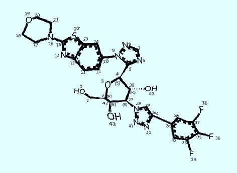 OC[C@H]1O[C@@H](c2ncnn2-c2ccc3nc(N4CCOCC4)sc3c2)[C@H](O)[C@@H](n2cc(-c3cc(F)c(F)c(F)c3)nn2)[C@H]1O